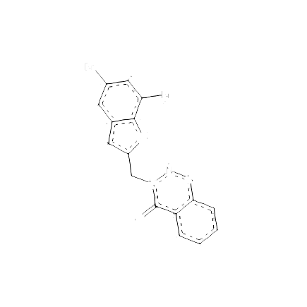 O=c1c2ccccc2nnn1Cc1cc2cc(Br)cc(Br)c2o1